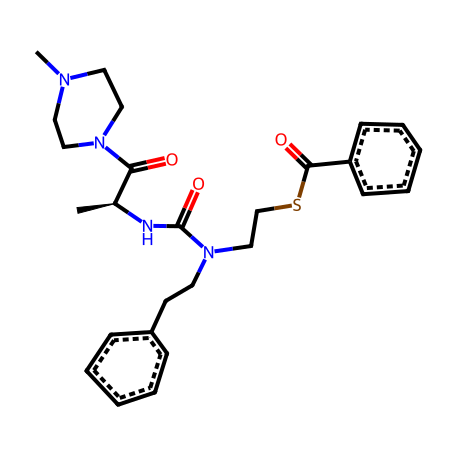 C[C@H](NC(=O)N(CCSC(=O)c1ccccc1)CCc1ccccc1)C(=O)N1CCN(C)CC1